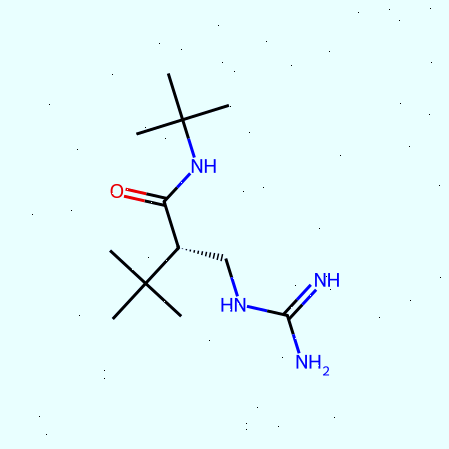 CC(C)(C)NC(=O)[C@H](CNC(=N)N)C(C)(C)C